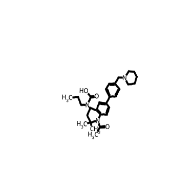 CCCN(C(=O)O)C1CC(C)(C)N(C(C)=O)c2ccc(-c3ccc(CN4CCCCC4)cc3)cc21